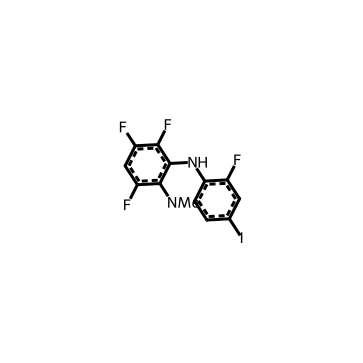 CNc1c(F)cc(F)c(F)c1Nc1ccc(I)cc1F